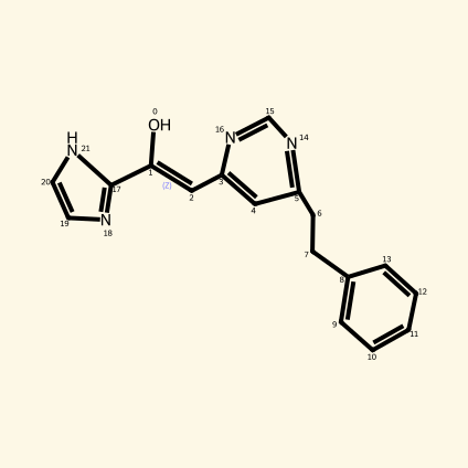 O/C(=C\c1cc(CCc2ccccc2)ncn1)c1ncc[nH]1